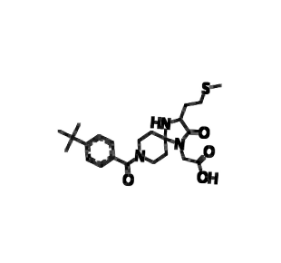 CSCCC1NC2(CCN(C(=O)c3ccc(C(C)(C)C)cc3)CC2)N(CC(=O)O)C1=O